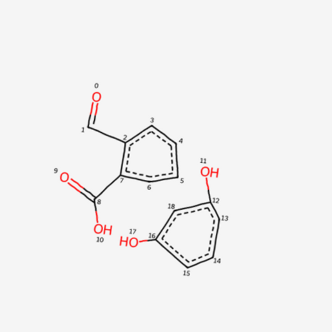 O=Cc1ccccc1C(=O)O.Oc1cccc(O)c1